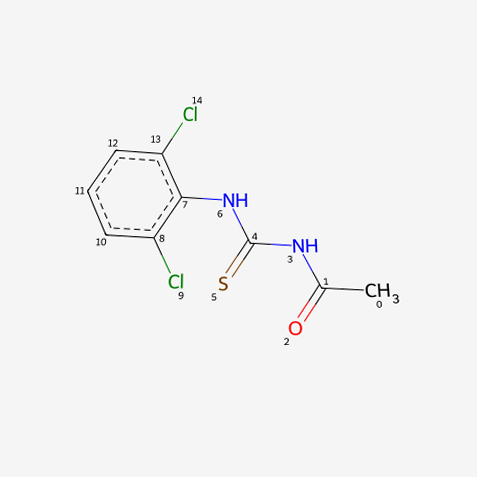 CC(=O)NC(=S)Nc1c(Cl)cccc1Cl